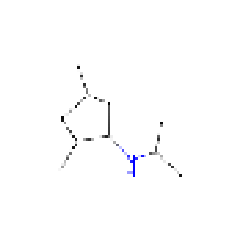 CC1CC(C)C(NC(C)C)C1